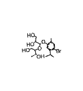 Cc1cc(Br)c(C(C)C)cc1O[C@H](OC(CO)[C@H](C)O)[C@@H](O)CO